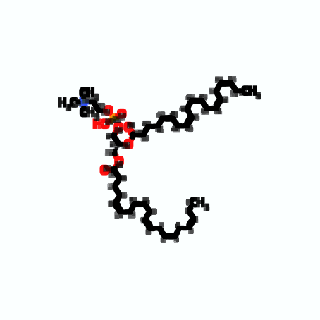 CC/C=C\C/C=C\C/C=C\C/C=C\C/C=C\CCCC(=O)OC[C@H](COP(=O)(O)OCC[N+](C)(C)C)OC(=O)CCC/C=C\C/C=C\C/C=C\C/C=C\C/C=C\CC